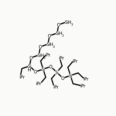 CC(C)C[SiH](O[SiH2]O[SiH2]O[SiH2]O[SiH3])O[Si](CC(C)C)(CC(C)C)O[Si](CC(C)C)(CC(C)C)O[Si](CC(C)C)(CC(C)C)CC(C)C